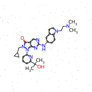 CN(C)CCn1ccc2cc(Nc3ncc4c(=O)n(CC5CC5)n(-c5cccc(C(C)(C)O)n5)c4n3)ccc21